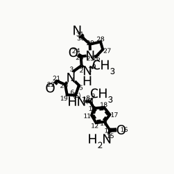 CNC(CN1C[C@@H](N[C@@H](C)c2ccc(C(N)=O)cc2)CC1C=O)C(=O)N1CCCC1C#N